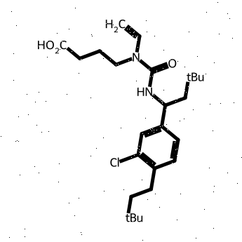 C=CN(CCCC(=O)O)C(=O)NC(CC(C)(C)C)c1ccc(CCC(C)(C)C)c(Cl)c1